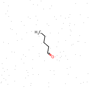 C[CH]CCC=O